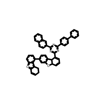 C1=CC2Oc3cc(-c4cccc5oc6c(c45)CCC=C6)ccc3C2C(c2nc(-c3ccc(-c4ccccc4)cc3)nc(-c3ccc4ccccc4c3)n2)=C1